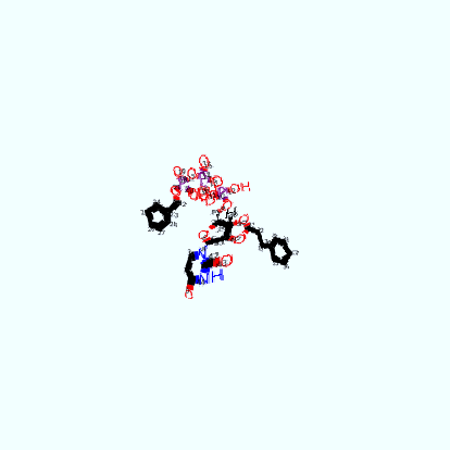 O=c1ccn([C@@H]2O[C@H](COP(=O)(O)OP(=O)(O)OP(=O)(O)OCc3ccccc3)[C@@H]3OC(CCc4ccccc4)OC32)c(=O)[nH]1